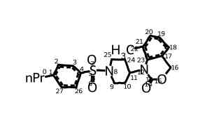 CCCc1ccc(S(=O)(=O)N2CCC(N3C(=O)OCc4cccc(C)c43)CC2)cc1